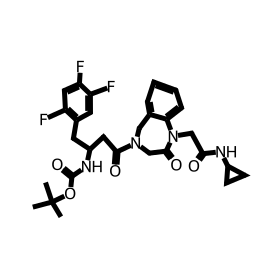 CC(C)(C)OC(=O)NC(CC(=O)N1CC(=O)N(CC(=O)NC2CC2)c2ccccc2C1)Cc1cc(F)c(F)cc1F